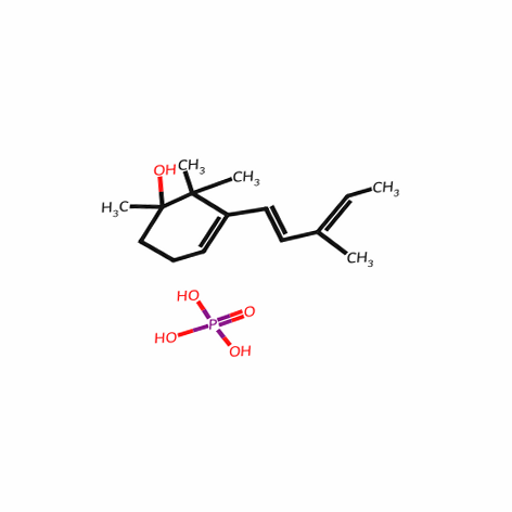 CC=C(C)C=CC1=CCCC(C)(O)C1(C)C.O=P(O)(O)O